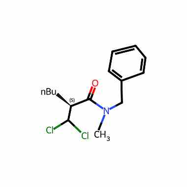 CCCC[C@@H](C(=O)N(C)Cc1ccccc1)C(Cl)Cl